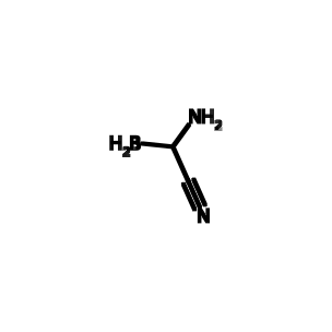 BC(N)C#N